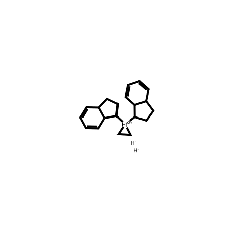 C1=CC2CC[CH]([Hf+2]3([CH]4CCC5C=CC=CC54)[CH2][CH2]3)C2C=C1.[H-].[H-]